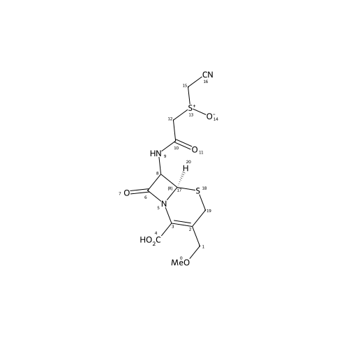 COCC1=C(C(=O)O)N2C(=O)C(NC(=O)C[S+]([O-])CC#N)[C@H]2SC1